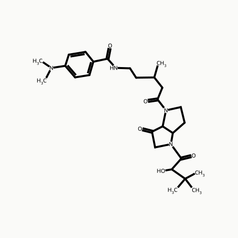 CC(CCNC(=O)c1ccc(N(C)C)cc1)CC(=O)N1CCC2C1C(=O)CN2C(=O)C(O)C(C)(C)C